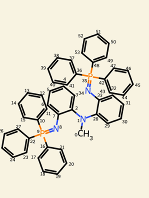 CN(c1ccccc1N=P(c1ccccc1)(c1ccccc1)c1ccccc1)c1ccccc1N=P(c1ccccc1)(c1ccccc1)c1ccccc1